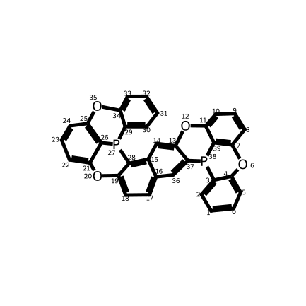 c1ccc2c(c1)Oc1cccc3oc4cc5c(ccc6oc7cccc8c7p(c65)-c5ccccc5O8)cc4p-2c13